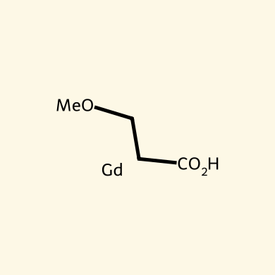 COCCC(=O)O.[Gd]